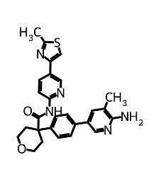 Cc1nc(-c2ccc(NC(=O)C3(c4ccc(-c5cnc(N)c(C)c5)cc4)CCOCC3)nc2)cs1